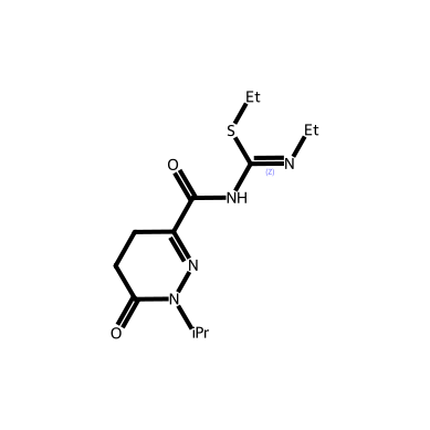 CC/N=C(/NC(=O)C1=NN(C(C)C)C(=O)CC1)SCC